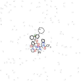 CC(C)[C@@H](C(=O)N[C@@H](CC(=O)OC(c1ccccc1)(c1ccc(C2CCCCCCCC2)cc1)c1ccccc1Cl)C(=O)N1CCCC1)N(C)C(=O)[C@](C)(Cc1ccccc1)NC(=O)C(F)(F)F